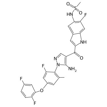 Cc1cc(Oc2cc(F)ccc2F)cc(F)c1-n1ncc(C(=O)c2cc3cc(NS(C)(=O)=O)c(F)cc3[nH]2)c1N